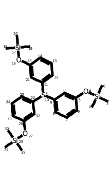 C[Si](C)(C)Oc1cccc([S+](c2cccc(O[Si](C)(C)C)c2)c2cccc(O[Si](C)(C)C)c2)c1